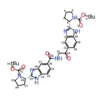 CC(C)(C)OC(=O)N1CCC[C@H]1c1nc2cc(C(=O)CNC(=O)c3ccc4[nH]c([C@@H]5CCCN5C(=O)OC(C)(C)C)nc4c3)ccc2[nH]1